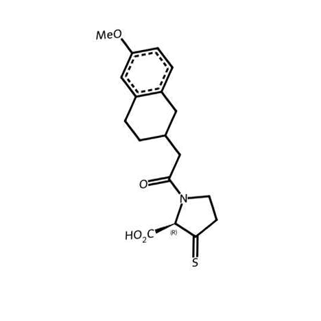 COc1ccc2c(c1)CCC(CC(=O)N1CCC(=S)[C@H]1C(=O)O)C2